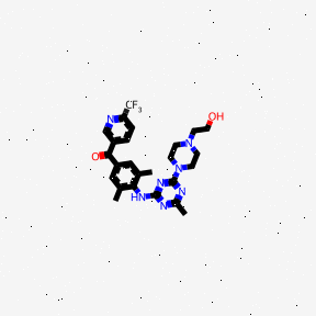 Cc1nc(Nc2c(C)cc(C(=O)c3ccc(C(F)(F)F)nc3)cc2C)nc(N2CCN(CCO)CC2)n1